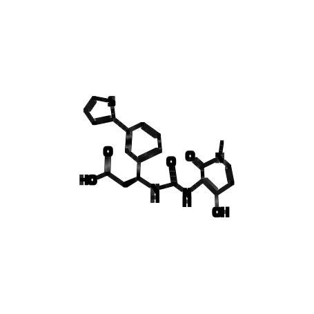 Cn1ccc(O)c(NC(=O)N[C@@H](CC(=O)O)c2cccc(-c3cccs3)c2)c1=O